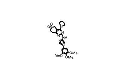 COc1cc(-n2cnc(Nc3nc4c(c(N5CCCC5)n3)CS(=O)(=O)CC4)c2)cc(OC)c1OC